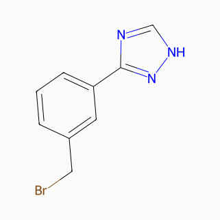 BrCc1cccc(-c2nc[nH]n2)c1